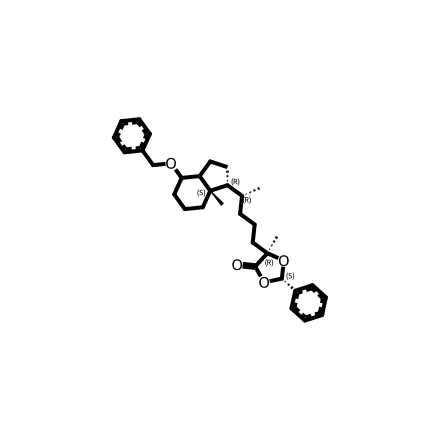 C[C@H](CCC[C@@]1(C)O[C@H](c2ccccc2)OC1=O)[C@H]1CCC2C(OCc3ccccc3)CCC[C@]21C